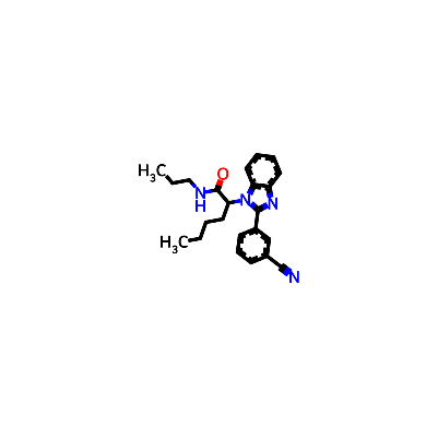 CCCCC(C(=O)NCCC)n1c(-c2cccc(C#N)c2)nc2ccccc21